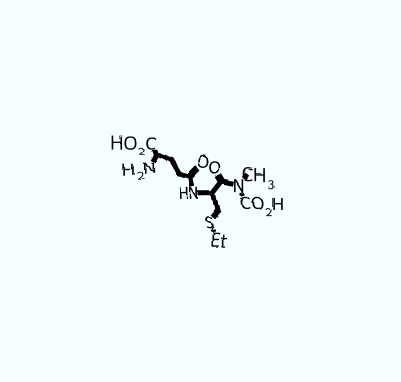 [CH2]CSCC(NC(=O)CCC(N)C(=O)O)C(=O)N(C)C(=O)O